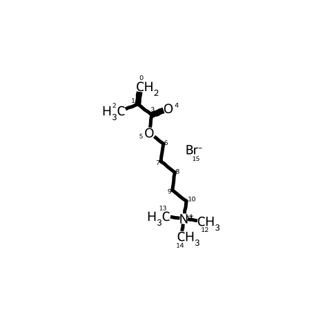 C=C(C)C(=O)OCCCCC[N+](C)(C)C.[Br-]